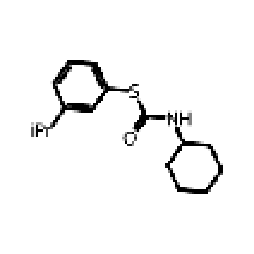 CC(C)c1cccc(SC(=O)NC2CCCCC2)c1